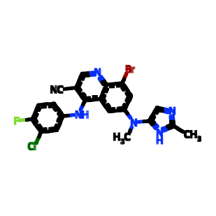 Cc1ncc(N(C)c2cc(Br)c3ncc(C#N)c(Nc4ccc(F)c(Cl)c4)c3c2)[nH]1